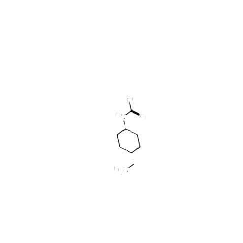 CCC(=O)N[C@H]1CC[C@H](CN)CC1